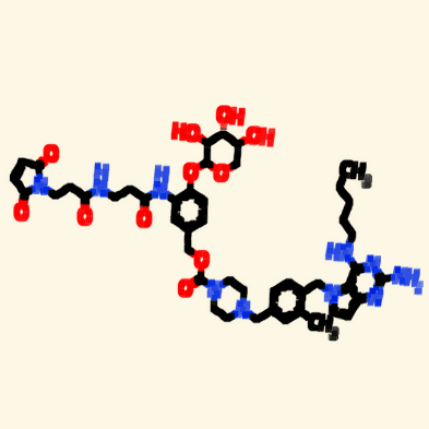 CCCCCNc1nc(N)nc2ccn(Cc3ccc(CN4CCN(C(=O)OCc5ccc(OC6OC[C@H](O)[C@@H](O)[C@@H]6O)c(NC(=O)CCNC(=O)CCN6C(=O)C=CC6=O)c5)CC4)cc3C)c12